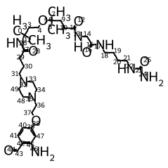 CC(C)(CCOC(C)(C)CCC(=O)NCC(=O)NCCCCNC(N)=O)NC(=O)CCCN1CCN(CCOc2ccc(C=O)c(N)c2)CC1